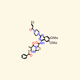 CCC=CC(=O)N1CCN(c2nc(NC(=O)C3SCC(=N)N3C(=O)C(C)CSC(=O)c3ccccc3)c3cc(OC)c(OC)cc3n2)CC1